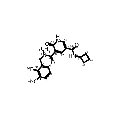 Cc1cccc(CN(C)C(=O)c2cc(C(=O)NC3CCC3)c[nH]c2=O)c1F